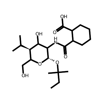 CCC(C)(C)O[C@@H]1OC(CO)[C@@H](C(C)C)C(O)C1NC(=O)C1CCCCC1C(=O)O